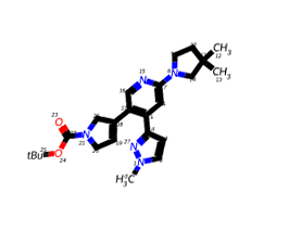 Cn1ccc(-c2cc(N3CCC(C)(C)C3)ncc2C2=CCN(C(=O)OC(C)(C)C)C2)n1